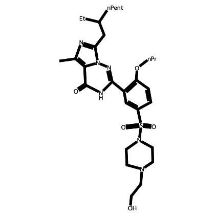 CCCCCC(CC)Cc1nc(C)c2c(=O)[nH]c(-c3cc(S(=O)(=O)N4CCN(CCO)CC4)ccc3OCCC)nn12